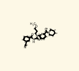 COCCCn1c(NC(=O)c2cccc(C#N)c2)nc2ccc(C(=O)N3CCCCC3)nc21